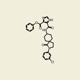 O=C(Oc1ccccc1)c1nc[nH]c1C(=O)NC1CCC2(CC1)CCN(c1cccc(Cl)c1)C2=O